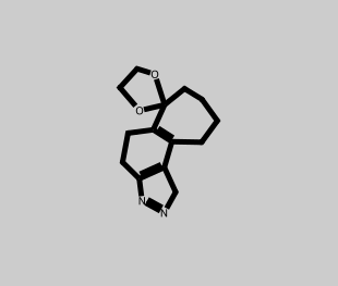 C1CCC2(OCCO2)C2=C(C1)C1=C(CC2)N=NC1